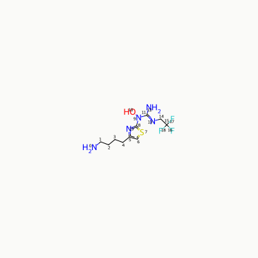 NCCCCc1csc(N(O)C(N)=NCC(F)(F)F)n1